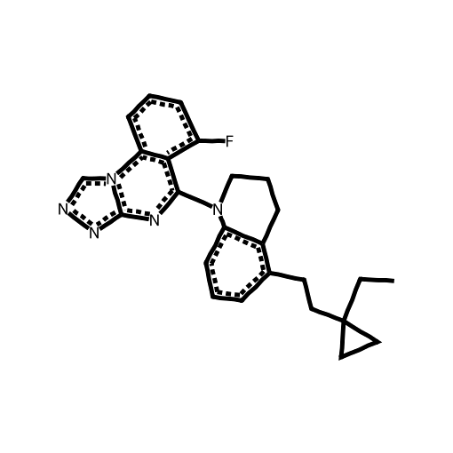 CCC1(CCc2cccc3c2CCCN3c2nc3nncn3c3cccc(F)c23)CC1